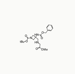 COC(=O)CNCC1(NC(=O)OCc2ccccc2)CN(C(=O)OC(C)(C)C)C1